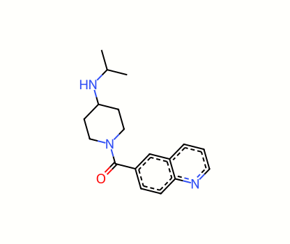 CC(C)NC1CCN(C(=O)c2ccc3ncccc3c2)CC1